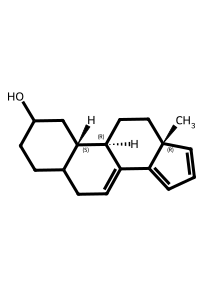 C[C@@]12C=CC=C1C1=CCC3CCC(O)C[C@@H]3[C@H]1CC2